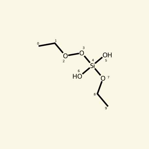 CCOO[Si](O)(O)OCC